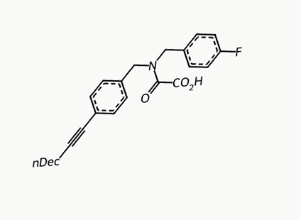 CCCCCCCCCCC#Cc1ccc(CN(Cc2ccc(F)cc2)C(=O)C(=O)O)cc1